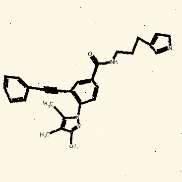 Cc1nn(-c2ccc(C(=O)NCCCC3=CCN=C3)cc2C#Cc2ccccc2)c(C)c1C